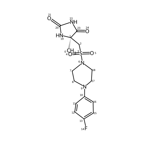 C[C@]1(CS(=O)(=O)N2CCN(c3ccc(F)cc3)CC2)NC(=O)NC1=O